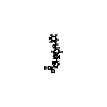 O=C(O)C1CSC(c2nc3ccc(OCc4cccnc4)cc3s2)=N1